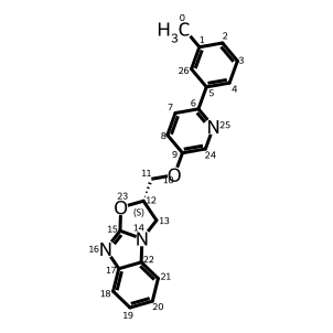 Cc1cccc(-c2ccc(OC[C@@H]3Cn4c(nc5ccccc54)O3)cn2)c1